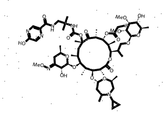 CO/N=C1\C[C@@H](C)O[C@@H](O[C@@H]2[C@@H](C)[C@H](O[C@H]3CC(C)N(C4CC4)C[C@H](C)O3)[C@@H](C)C(=O)O[C@H](C(C)CO[C@@H]3O[C@H](C)[C@@H](O)[C@@H](OC)[C@H]3OC)[C@H](C)[C@@H](OC(=O)CC(C)C)[C@@H](C)C(=O)[C@@](C)(OC(=O)NC(C)(C)CNC(=O)c3cnc(O)cn3)C[C@@H]2C)[C@@H]1O